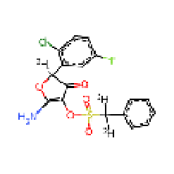 [2H]C([2H])(c1ccccc1)S(=O)(=O)OC1=C(N)O[C@@]([2H])(c2cc(F)ccc2Cl)C1=O